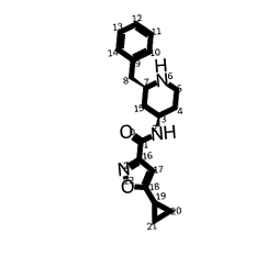 O=C(N[C@@H]1CCN[C@H](Cc2ccccc2)C1)c1cc(C2CC2)on1